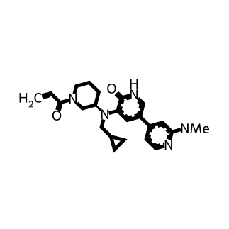 C=CC(=O)N1CCC[C@@H](N(CC2CC2)c2cc(-c3ccnc(NC)c3)c[nH]c2=O)C1